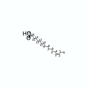 CC/C=C\CCCCCCCCCCCCCC(=O)O